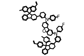 C=Cc1ccc(C2(C3=C(C)C=CC(C)C3)c3ccccc3C3CCC(c4cccc(N(C5=CC=C(F)CC5)C5=CC6=C(CC5)OC5CCC(N(C7=CCCC(C8C=CC9c%10ccccc%10C(c%10ccc(C=C)cc%10)(c%10cc(C)ccc%10C)C9C8)=C7)c7ccc(F)cc7)=CC65)c4)=CC32)cc1